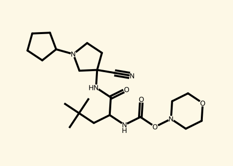 CC(C)(C)CC(NC(=O)ON1CCOCC1)C(=O)NC1(C#N)CCN(C2CCCC2)C1